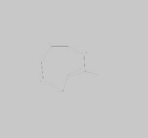 [2H]/C1=C\CCCCCC1